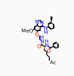 C#Cc1cccc(Nc2ncnc3cc(OC)c(OCCNC(=O)[C@H](CCCCCC(C)=O)NC(=O)c4ccccc4)cc23)c1